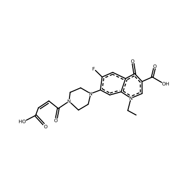 CCn1cc(C(=O)O)c(=O)c2cc(F)c(N3CCN(C(=O)/C=C\C(=O)O)CC3)cc21